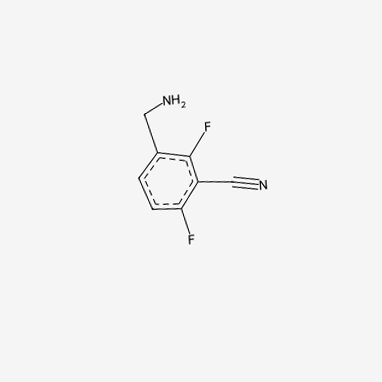 N#Cc1c(F)ccc(CN)c1F